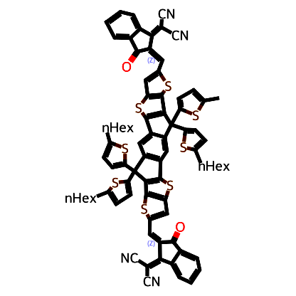 CCCCCCc1ccc(C2(c3ccc(C)s3)c3cc4c(cc3-c3sc5cc(/C=C6\C(=O)c7ccccc7C6=C(C#N)C#N)sc5c32)C(c2ccc(CCCCCC)s2)(c2ccc(CCCCCC)s2)c2c-4sc3cc(/C=C4\C(=O)c5ccccc5C4=C(C#N)C#N)sc23)s1